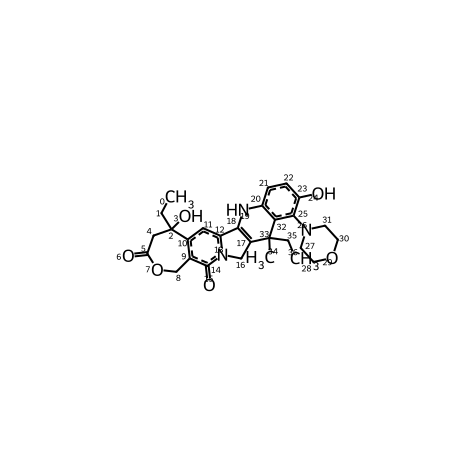 CCC1(O)CC(=O)OCc2c1cc1n(c2=O)CC2=C1Nc1ccc(O)c(N3CCOCC3)c1C2(C)CC